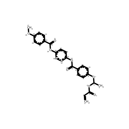 C=CC(=O)OC(C)Oc1ccc(C(=O)Oc2ccc(OC(=O)c3ccc(OC)cc3)nn2)cc1